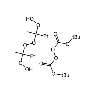 CC(C)(C)OC(=O)OOC(=O)OC(C)(C)C.CCC(C)(OO)OOC(C)(CC)OO